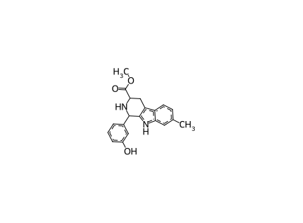 COC(=O)C1Cc2c([nH]c3cc(C)ccc23)C(c2cccc(O)c2)N1